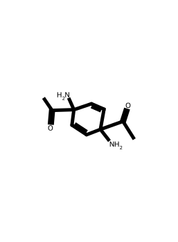 CC(=O)C1(N)C=CC(N)(C(C)=O)C=C1